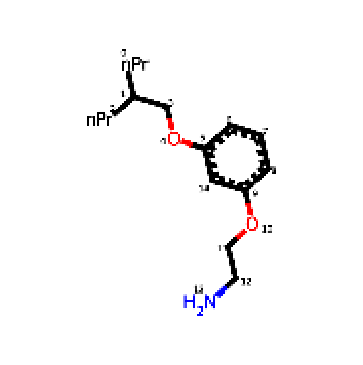 CCCC(CCC)COc1cccc(OCCN)c1